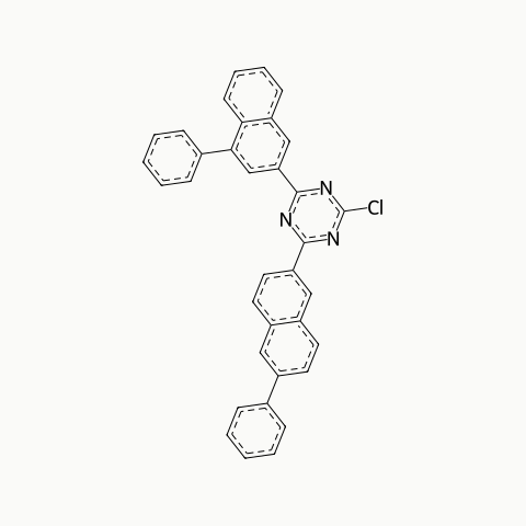 Clc1nc(-c2ccc3cc(-c4ccccc4)ccc3c2)nc(-c2cc(-c3ccccc3)c3ccccc3c2)n1